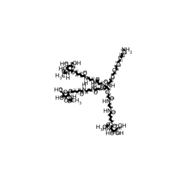 CC(=O)N[C@H]1[C@H](OCCCCC(=O)NCCCNC(=O)CCOCC(COCCC(=O)NCCCNC(=O)CCCCOC2O[C@H](CO)[C@H](O)[C@H](O)[C@H]2NC(C)=O)(COCCC(=O)NCCCNC(=O)CCCCO[C@@H]2O[C@H](CO)[C@H](O)[C@H](O)[C@H]2NC(C)=O)NC(=O)CCOCCOCCOCCOCCON)O[C@H](CO)[C@H](O)[C@@H]1O